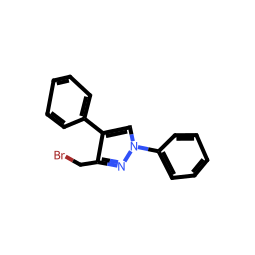 BrCc1nn(-c2ccccc2)cc1-c1ccccc1